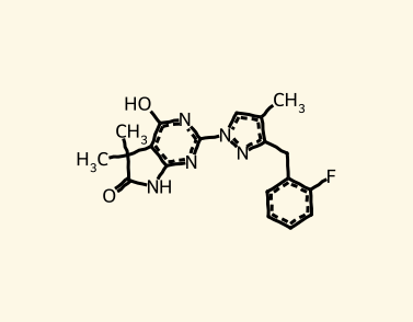 Cc1cn(-c2nc(O)c3c(n2)NC(=O)C3(C)C)nc1Cc1ccccc1F